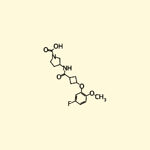 COc1ccc(F)cc1OC1CC(C(=O)NC2CCN(C(=O)O)C2)C1